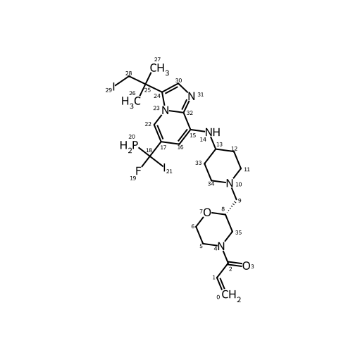 C=CC(=O)N1CCO[C@H](CN2CCC(Nc3cc(C(F)(P)I)cn4c(C(C)(C)CI)cnc34)CC2)C1